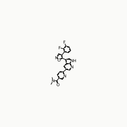 CN(C)C(=O)c1ccc(-c2cnc3[nH]cc(-c4oncc4-c4cccc(F)c4F)c3c2)nc1